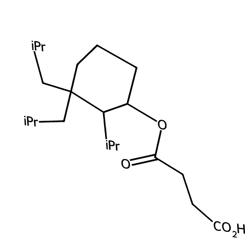 CC(C)CC1(CC(C)C)CCCC(OC(=O)CCC(=O)O)C1C(C)C